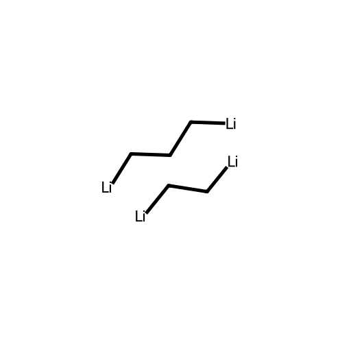 [Li][CH2]C[CH2][Li].[Li][CH2][CH2][Li]